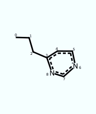 CCCc1ccncn1